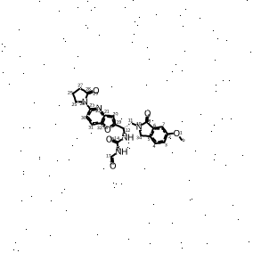 COc1ccc2c(c1)C(=O)N(C[C@H](NC(=O)NC=O)c1cc3nc(N4CCCC4=O)ccc3o1)C2